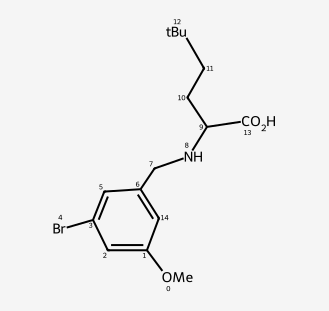 COc1cc(Br)cc(CNC(CCC(C)(C)C)C(=O)O)c1